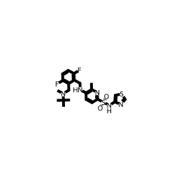 Cc1nc(S(=O)(=O)Nc2cscn2)ccc1NCc1c(F)ccc(F)c1CN(C)C(C)(C)C